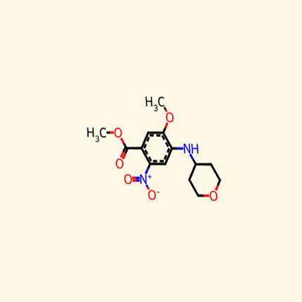 COC(=O)c1cc(OC)c(NC2CCOCC2)cc1[N+](=O)[O-]